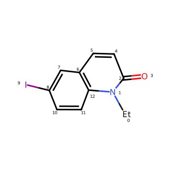 CCn1c(=O)ccc2cc(I)ccc21